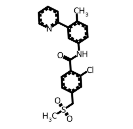 Cc1ccc(NC(=O)c2ccc(CS(C)(=O)=O)cc2Cl)cc1-c1ccccn1